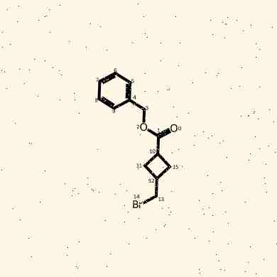 O=C(OCc1ccccc1)C1CC(CBr)C1